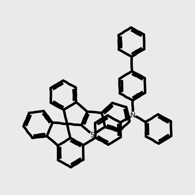 c1ccc(-c2ccc(N(c3ccccc3)c3ccc(-c4cccc5c4C4(c6ccccc6-5)c5ccccc5-c5c4sc4ccccc54)cc3)cc2)cc1